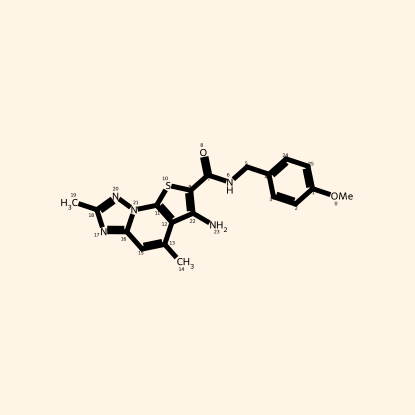 COc1ccc(CNC(=O)c2sc3c(c(C)cc4nc(C)nn43)c2N)cc1